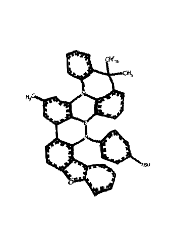 Cc1cc2c3c(c1)N1c4ccccc4C(C)(C)c4cccc(c41)B3N(c1ccc(C(C)(C)C)cc1)c1c-2ccc2oc3ccccc3c12